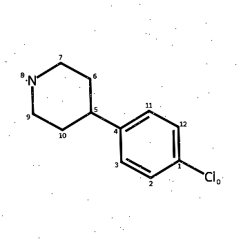 Clc1ccc(C2CC[N]CC2)cc1